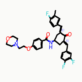 Cc1cc(/C=C2\CC(NC(=O)c3ccc(OCCN4CCOCC4)cc3)C/C(=C\c3ccc(F)c(F)c3)C2=O)ccc1F